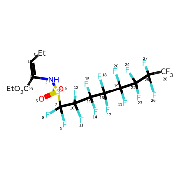 CCC=C(NS(=O)(=O)C(F)(F)C(F)(F)C(F)(F)C(F)(F)C(F)(F)C(F)(F)C(F)(F)C(F)(F)F)C(=O)OCC